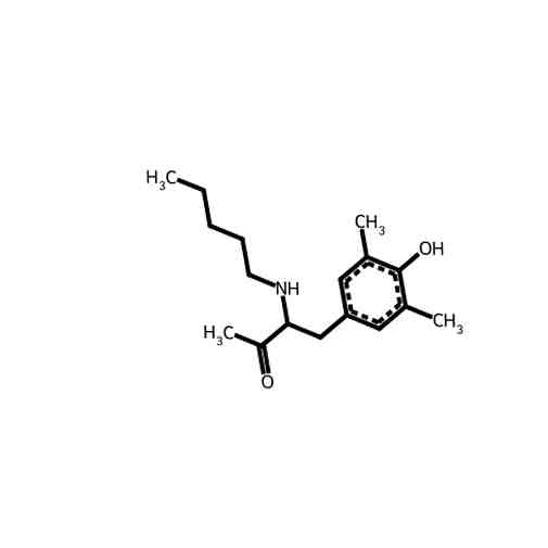 CCCCCNC(Cc1cc(C)c(O)c(C)c1)C(C)=O